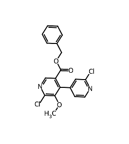 COc1c(Cl)ncc(C(=O)OCc2ccccc2)c1-c1ccnc(Cl)c1